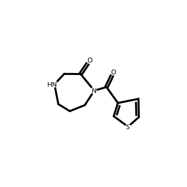 O=C1CNCCCN1C(=O)c1ccsc1